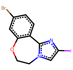 Brc1ccc2c(c1)OCCn1cc(I)nc1-2